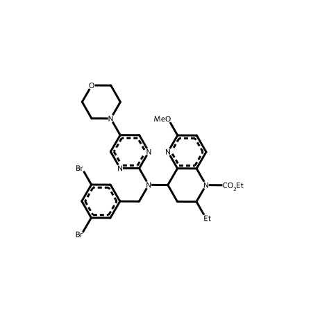 CCOC(=O)N1c2ccc(OC)nc2C(N(Cc2cc(Br)cc(Br)c2)c2ncc(N3CCOCC3)cn2)CC1CC